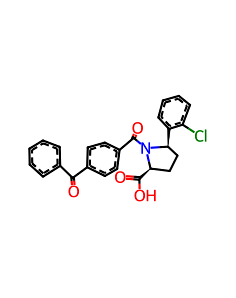 O=C(c1ccccc1)c1ccc(C(=O)N2[C@@H](c3ccccc3Cl)CC[C@H]2C(=O)O)cc1